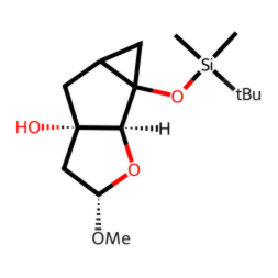 CO[C@@H]1C[C@@]2(O)CC3CC3(O[Si](C)(C)C(C)(C)C)[C@H]2O1